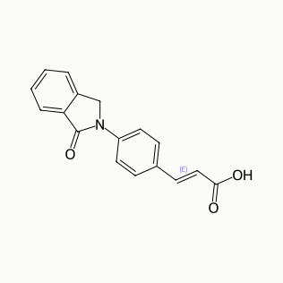 O=C(O)/C=C/c1ccc(N2Cc3ccccc3C2=O)cc1